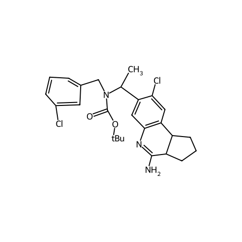 CC(c1cc2c(cc1Cl)C1CCCC1C(N)=N2)N(Cc1cccc(Cl)c1)C(=O)OC(C)(C)C